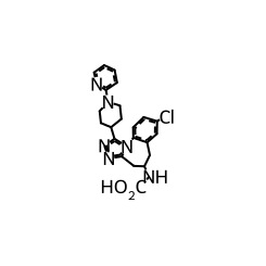 O=C(O)NC1Cc2cc(Cl)ccc2-n2c(nnc2C2CCN(c3ccccn3)CC2)C1